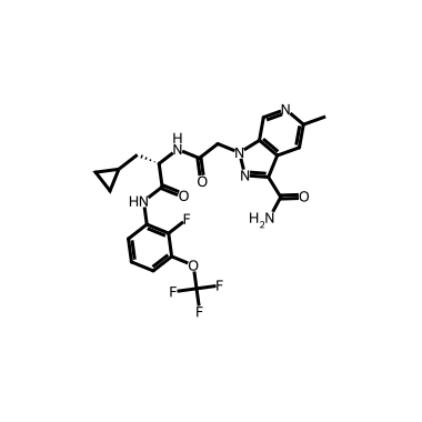 Cc1cc2c(C(N)=O)nn(CC(=O)N[C@@H](CC3CC3)C(=O)Nc3cccc(OC(F)(F)F)c3F)c2cn1